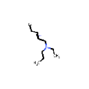 [Li][CH2]/C=C/CN(CC)CCC